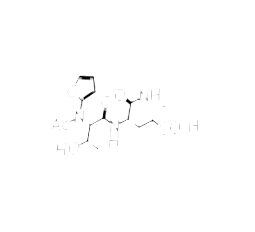 CC(=O)N(c1ccco1)[C@H](C(=O)N[C@H](CCC(=O)O)C(N)=O)[C@@H](C)O